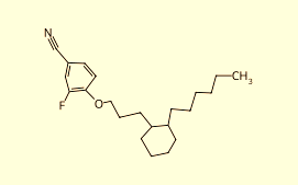 CCCCCCC1CCCCC1CCCOc1ccc(C#N)cc1F